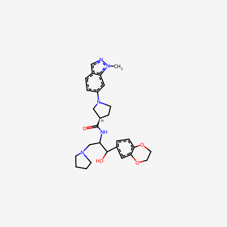 Cn1ncc2ccc(N3CC[C@@H](C(=O)NC(CN4CCCC4)C(O)c4ccc5c(c4)OCCO5)C3)cc21